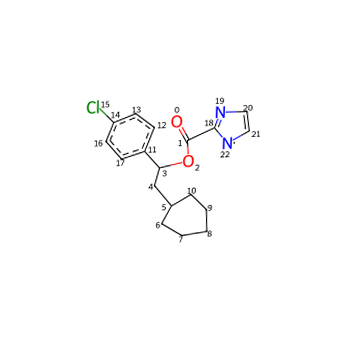 O=C(OC(CC1CCCCC1)c1ccc(Cl)cc1)C1=NC=C[N]1